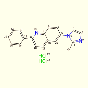 Cc1nccn1-c1ccc2nc(-c3ccccc3)ccc2c1.Cl.Cl